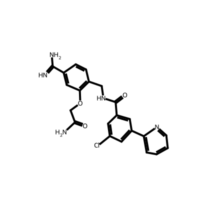 N=C(N)c1ccc(CNC(=O)c2cc(Cl)cc(-c3ccccn3)c2)c(OCC(N)=O)c1